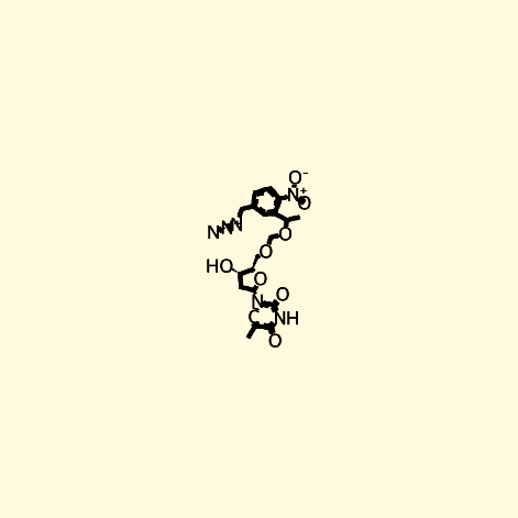 Cc1cn([C@H]2C[C@H](O)[C@@H](COCOC(C)c3cc(CN=[N+]=[N-])ccc3[N+](=O)[O-])O2)c(=O)[nH]c1=O